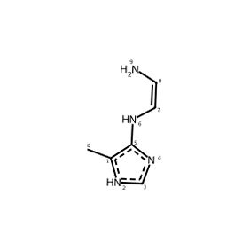 Cc1[nH]cnc1N/C=C\N